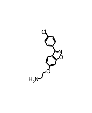 NCCOc1ccc2c(-c3ccc(Cl)cc3)noc2c1